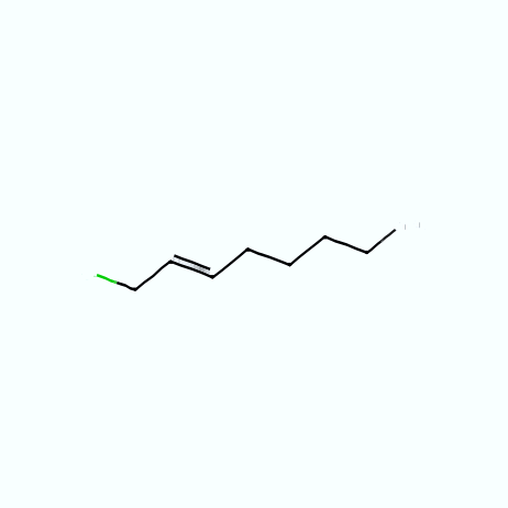 CCCCCCCCC=CCCl